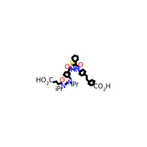 CC(C)N(CCN(C(=O)CCCC(=O)O)C(C)C)Cc1cccc(C(=O)Nc2sc3c(c2C(=O)Nc2ccc(CCc4ccc(C(=O)O)cc4)cc2)CCCC3)c1